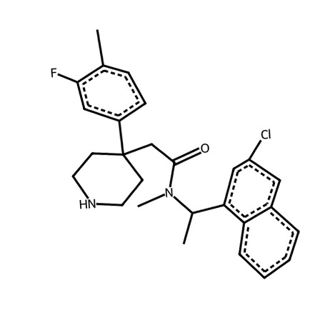 Cc1ccc(C2(CC(=O)N(C)C(C)c3cc(Cl)cc4ccccc34)CCNCC2)cc1F